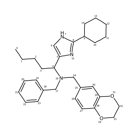 CCCCC(c1c[nH]c(C2CCCCC2)n1)N(Cc1ccccc1)Cc1ccc2c(c1)OCCO2